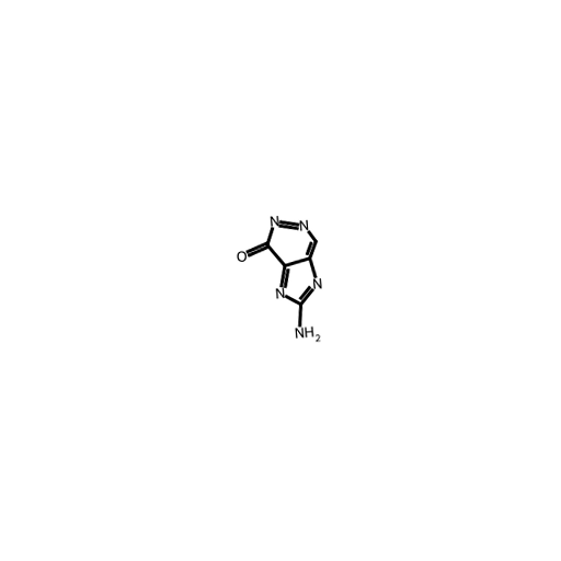 NC1=NC2=CN=NC(=O)C2=N1